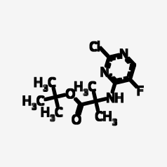 CC(C)(C)OC(=O)C(C)(C)Nc1nc(Cl)ncc1F